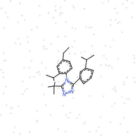 CCc1ccc(-n2c(-c3cccc(C(C)C)c3)nnc2C(C)(C)C)c(C(C)C)c1